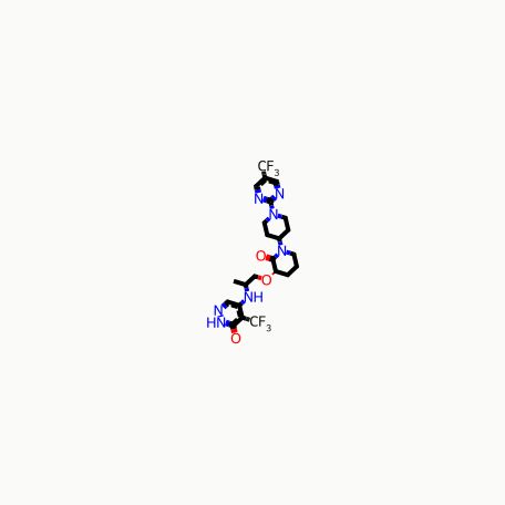 CC(CO[C@H]1CCCN(C2CCN(c3ncc(C(F)(F)F)cn3)CC2)C1=O)Nc1cn[nH]c(=O)c1C(F)(F)F